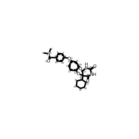 CN(C)C(=O)c1ccc(Oc2ccc(OC3(C4CCCCC4)C(=O)NC(=O)NC3=O)cc2)cc1